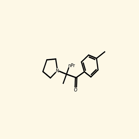 CCCC(C)(C(=O)c1ccc(C)cc1)N1CCCC1